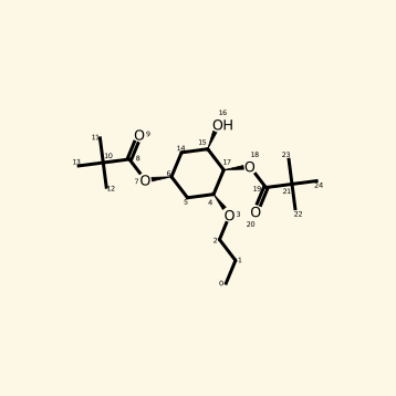 CCCO[C@H]1C[C@@H](OC(=O)C(C)(C)C)C[C@@H](O)[C@H]1OC(=O)C(C)(C)C